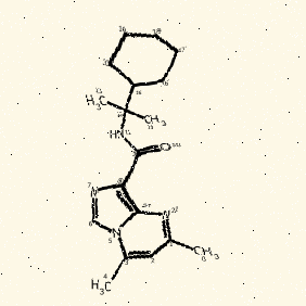 Cc1cc(C)n2cnc(C(=O)NC(C)(C)C3CCCCC3)c2n1